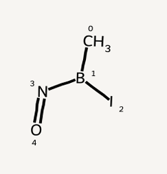 CB(I)N=O